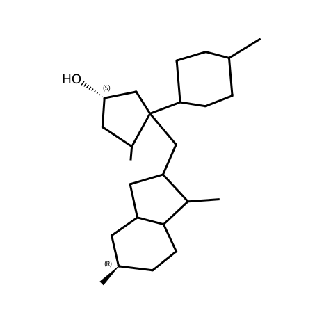 CC1CCC(C2(CC3CC4C[C@H](C)CCC4C3C)C[C@@H](O)CC2C)CC1